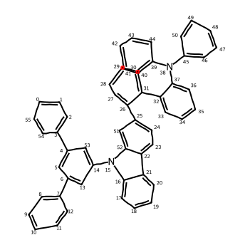 c1ccc(-c2cc(-c3ccccc3)cc(-n3c4ccccc4c4ccc(-c5ccccc5-c5ccccc5N(c5ccccc5)c5ccccc5)cc43)c2)cc1